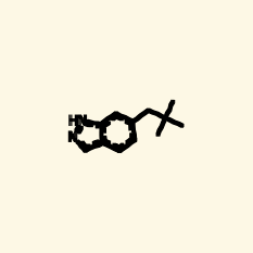 CC(C)(C)Cc1ccc2cn[nH]c2c1